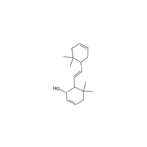 CC1(C)CC=CCC1C=CC1C(O)C=CCC1(C)C